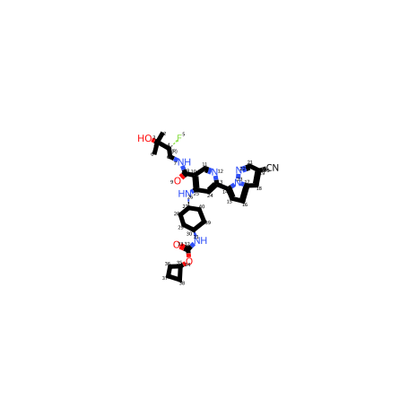 CC(C)(O)[C@H](F)CNC(=O)c1cnc(-c2ccc3cc(C#N)cnn23)cc1N[C@H]1CC[C@H](NC(=O)OC2CCC2)CC1